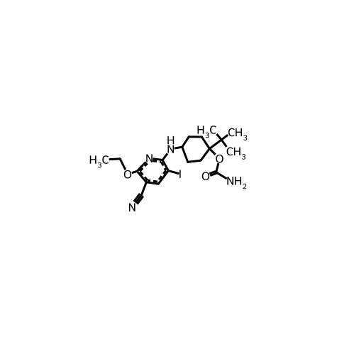 CCOc1nc(NC2CCC(OC(N)=O)(C(C)(C)C)CC2)c(I)cc1C#N